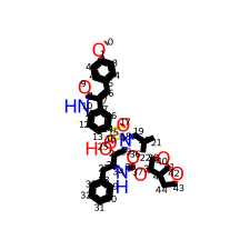 COc1ccc(C=C2C(=O)Nc3ccc(S(=O)(=O)N(CC(C)C)CC(O)C(Cc4ccccc4)NC(=O)OC4COC5OCCC45)cc32)cc1